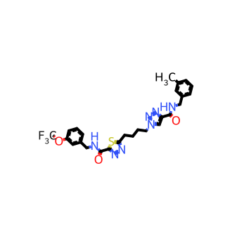 Cc1cccc(CNC(=O)c2cn(CCCCc3nnc(C(=O)NCc4cccc(OC(F)(F)F)c4)s3)nn2)c1